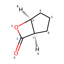 O=C1O[C@H]2CCC[C@@H]12